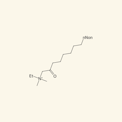 CCCCCCCCCCCCCCCC(=O)C[N+](C)(C)CC